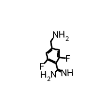 N=C(N)c1c(F)cc(CN)cc1F